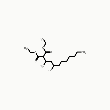 CCCCCCCC(C)CC(C)C(C(=O)OCC)C(=O)OCC